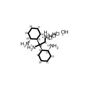 Cl.Cl.Cl.Cl.NCC(N)([C@@H]1CCCC[C@H]1N)[C@@H]1CCCC[C@H]1N